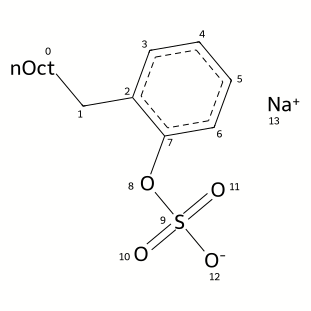 CCCCCCCCCc1ccccc1OS(=O)(=O)[O-].[Na+]